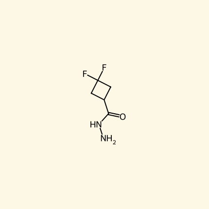 NNC(=O)C1CC(F)(F)C1